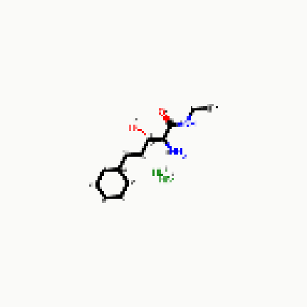 Br.Br.CC(C)CNC(=O)C(N)[C@@H](O)CCC1CCCCC1